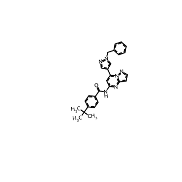 CC(C)(C)c1ccc(C(=O)Nc2cc(-c3cnn(Cc4ccccc4)c3)n3nccc3n2)cc1